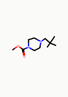 COC(=O)N1CCN(CC(C)(C)C)CC1